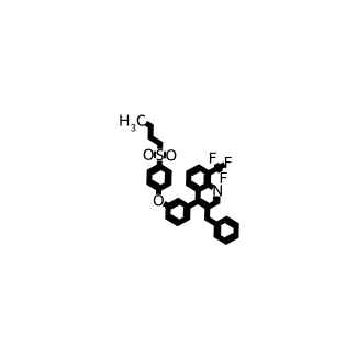 CCCCS(=O)(=O)c1ccc(Oc2cccc(-c3c(Cc4ccccc4)cnc4c(C(F)(F)F)cccc34)c2)cc1